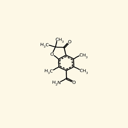 Cc1c(C)c2c(c(C)c1C(N)=O)OC(C)(C)C2=O